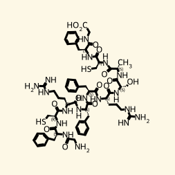 C[C@H](NC(=O)[C@H](CO)NC(=O)[C@H](CCCNC(=N)N)NC(=O)[C@H](Cc1ccccc1)NC(=O)[C@H](Cc1ccccc1)NC(=O)[C@H](CCCNC(=N)N)NC(=O)[C@H](CS)NC(=O)[C@H](Cc1ccccc1)NC(=O)CN)C(=O)N[C@@H](CS)C(=O)N[C@@H](Cc1ccccc1)C(=O)NCC(=O)O